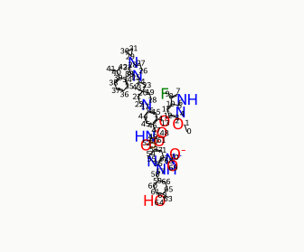 CCOc1nc2[nH]cc(F)c2cc1Oc1cc(N2CCC3(CC2)CC(N2CCN(C4CC4)C[C@H]2c2ccccc2C(C)C)C3)ccc1C(=O)NS(=O)(=O)c1cnc(NCC2CCC(C)(O)CC2)c([N+](=O)[O-])c1